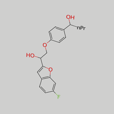 CCCC(O)c1ccc(OCC(O)c2cc3ccc(F)cc3o2)cc1